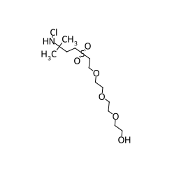 CC(C)(CCS(=O)(=O)CCOCCOCCOCCO)NCl